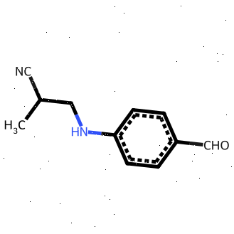 CC(C#N)CNc1ccc(C=O)cc1